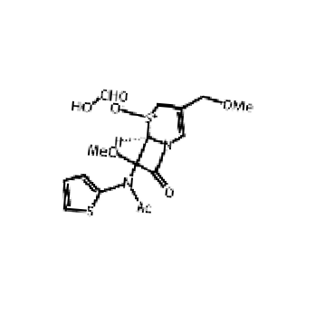 COCC1=CN2C(=O)C(OC)(N(C(C)=O)c3cccs3)[C@H]2[S+]([O-])C1.O=CO